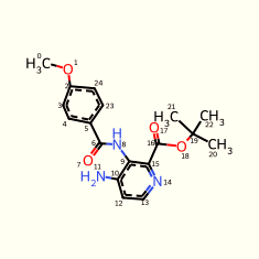 COc1ccc(C(=O)Nc2c(N)ccnc2C(=O)OC(C)(C)C)cc1